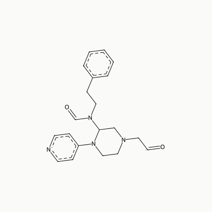 O=[C]CN1CCN(c2ccncc2)C(N(C=O)CCc2ccccc2)C1